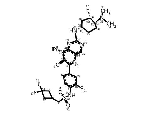 CC(C)n1c(=O)c(-c2ccc(NS(=O)(=O)CC3CC(F)(F)C3)c(F)c2)nc2cnc(N[C@H]3CC[C@H](N(C)C)[C@@H](F)C3)nc21